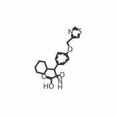 O=C(O)C1(C(c2ccc(OCc3cscn3)cc2)C2CCCCC2)NO1